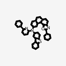 c1ccc(-c2cccc(N(c3ccc4sc5ccccc5c4c3)c3ccc4ccc5ccc6nc(-c7ccccc7)oc6c5c4c3)n2)cc1